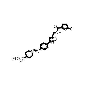 CCOC(=O)C1CCN(C=Nc2ccc(-c3cc(CNC(=O)c4ccc(Cl)s4)on3)cc2)CC1